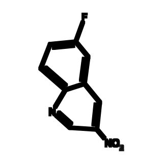 O=[N+]([O-])c1cnc2ccc(F)cc2c1